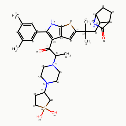 Cc1cc(C)cc(-c2[nH]c3sc(C(C)(C)CC4C5CCC4C(=O)N5)cc3c2C(=O)C(C)N2CCN(C3CCS(O)(O)C3)CC2)c1